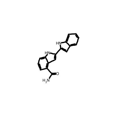 NC(=O)c1cccc2[nH]c(-c3cc4ccccc4[nH]3)cc12